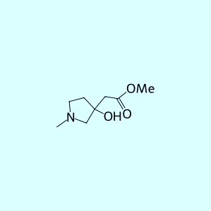 COC(=O)CC1(O)CCN(C)C1